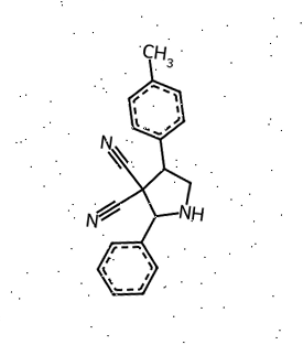 Cc1ccc(C2CNC(c3ccccc3)C2(C#N)C#N)cc1